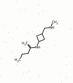 C=C(CCC)NC1CC(CNC)C1